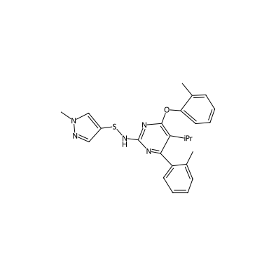 Cc1ccccc1Oc1nc(NSc2cnn(C)c2)nc(-c2ccccc2C)c1C(C)C